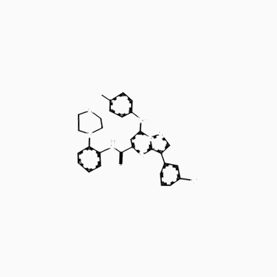 O=C(Nc1ccccc1N1CCNCC1)c1cc(Nc2ccc(F)cc2)n2ncc(-c3cccc(Cl)c3)c2n1